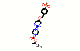 CC(OC(=O)N1CCN(c2ncc(OCc3ccc(S(C)(=O)=O)cc3)cn2)CC1)C(F)(F)F